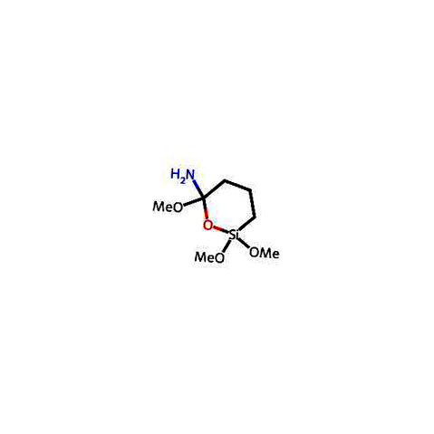 COC1(N)CCC[Si](OC)(OC)O1